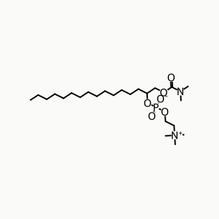 CCCCCCCCCCCCCCC(COC(=O)N(C)C)OP(=O)([O-])OCC[N+](C)(C)C